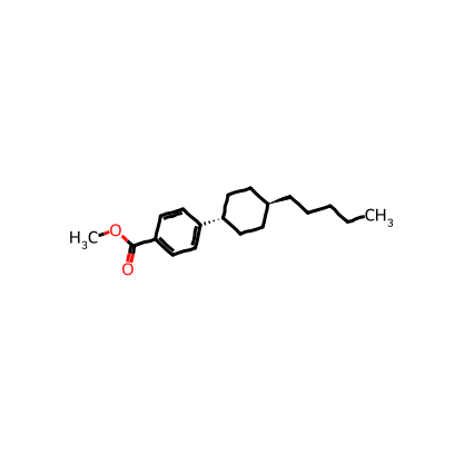 CCCCC[C@H]1CC[C@H](c2ccc(C(=O)OC)cc2)CC1